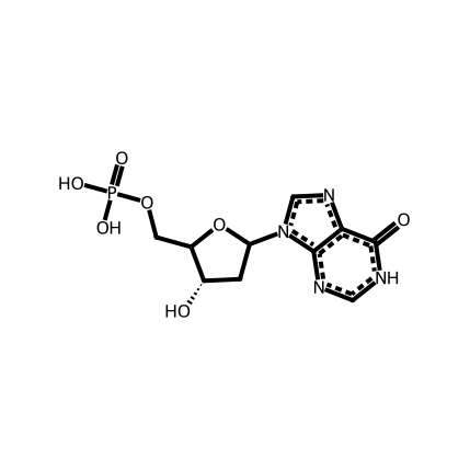 O=c1[nH]cnc2c1ncn2C1C[C@H](O)C(COP(=O)(O)O)O1